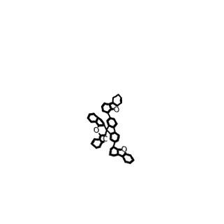 C1=Cc2oc3c(-c4ccc5c(c4)C4(c6cc(-c7cccc8c7oc7ccccc78)ccc6-5)c5ccc6ccccc6c5Oc5c4ccc4ccccc54)cccc3c2CC1